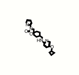 O=C1OC2(CCC(CNc3ccc(OC4CCC4)cn3)CC2)CN1c1ccccn1